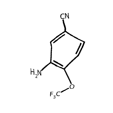 N#Cc1ccc(OC(F)(F)F)c(N)c1